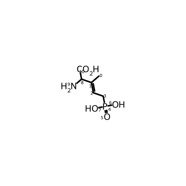 C/C(=C\CP(=O)(O)O)C(N)C(=O)O